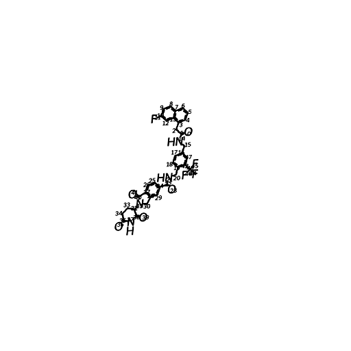 O=C(Cc1cccc2ccc(F)cc12)NCc1ccc(CNC(=O)c2ccc3c(c2)CN(C2CCC(=O)NC2=O)C3=O)c(C(F)(F)F)c1